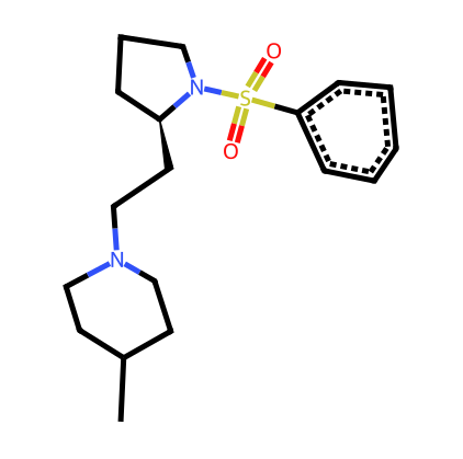 CC1CCN(CC[C@H]2CCCN2S(=O)(=O)c2ccccc2)CC1